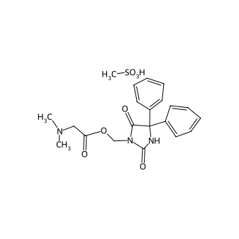 CN(C)CC(=O)OCN1C(=O)NC(c2ccccc2)(c2ccccc2)C1=O.CS(=O)(=O)O